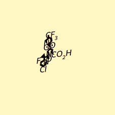 O=C(O)[C@@H]1C[C@@H](S(=O)(=O)c2ccc(C(F)(F)F)cn2)CN1C(=O)C1(c2ncc(Cl)cc2F)CC1